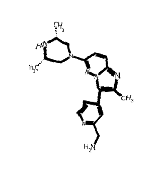 Cc1nc2ccc(N3C[C@@H](C)N[C@@H](C)C3)nn2c1-c1ccnc(CN)c1